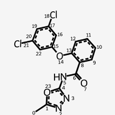 Cc1nnc(NC(=O)c2ccccc2Oc2cc(Cl)cc(Cl)c2)o1